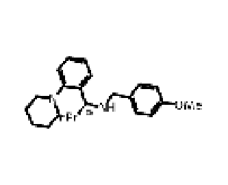 CCC[C@H](NCc1ccc(OC)cc1)c1ccccc1N1CCCCC1